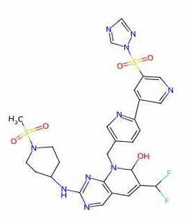 CS(=O)(=O)N1CCC(Nc2ncc3c(n2)N(Cc2ccc(-c4cncc(S(=O)(=O)n5cncn5)c4)nc2)C(O)C(C(F)F)=C3)CC1